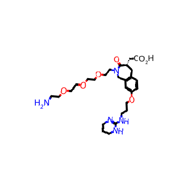 NCCOCCOCCOCCN1Cc2cc(OCCCNC3=NCCCN3)ccc2C[C@@H](CC(=O)O)C1=O